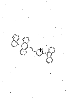 C(=C\c1c2ccccc2c(-c2cccc3ccccc23)c2ccccc12)/c1ccc(-n2c3ccccc3c3ccccc32)nc1